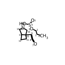 CCCOS(=O)O.O=C=CC12CCC1CNC2